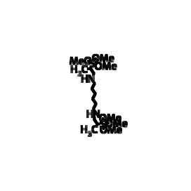 CO[Si](OC)(OC)C(C)CNCCCCCCNCC(C)[Si](OC)(OC)OC